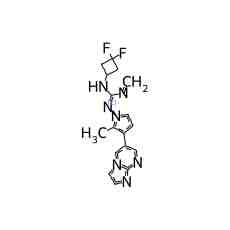 C=N/C(=N\n1ccc(-c2cnc3nccn3c2)c1C)NC1CC(F)(F)C1